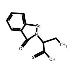 CCC(C(O)=S)n1[se]c2ccccc2c1=O